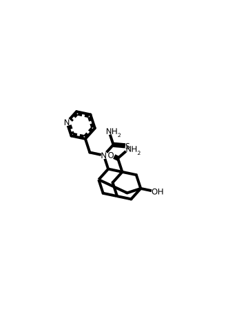 NC(=O)C12CC3CC(CC(O)(C3)C1)C2N(Cc1cccnc1)C(N)=S